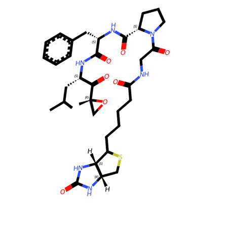 CC(C)C[C@H](NC(=O)[C@H](Cc1ccccc1)NC(=O)[C@@H]1CCCN1C(=O)CNC(=O)CCCCC1SC[C@@H]2NC(=O)N[C@H]12)C(=O)[C@@]1(C)CO1